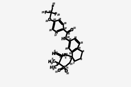 CC1(C)C(=N)N[C@@]2(CCCc3ccc(NC(=O)c4ccc(OC(F)(F)F)cn4)cc32)CS1(=O)=O